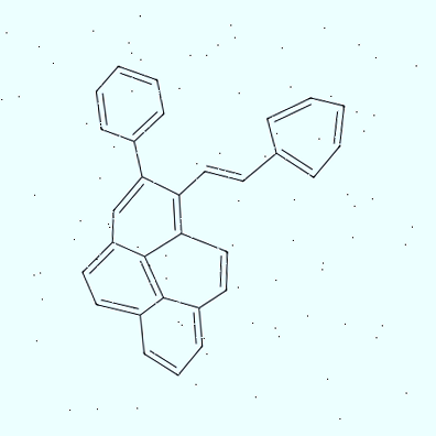 C(=Cc1c(-c2ccccc2)cc2ccc3cccc4ccc1c2c34)c1ccccc1